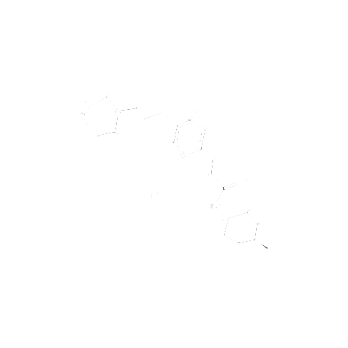 COc1cc(CCC(=O)N[C@H]2CC[C@H](C)CC2)ccc1OCCN1CCOCC1.Cl